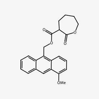 COc1cccc2c(COC(=O)C3CCCCOC3=O)c3ccccc3cc12